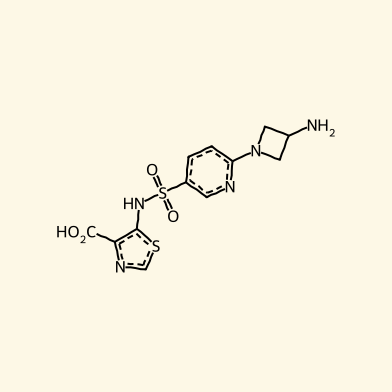 NC1CN(c2ccc(S(=O)(=O)Nc3scnc3C(=O)O)cn2)C1